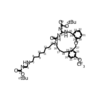 CC(C)(C)OC(=O)N=CNCCCCCCCCN1CCCc2ccc(OC(F)(F)F)cc2COc2ccccc2CNC(=NC(=O)OC(C)(C)C)NC1=O